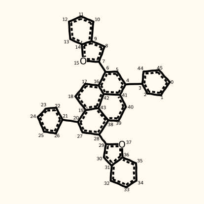 c1ccc(-c2cc(-c3cc4ccccc4o3)c3ccc4c(-c5ccccc5)cc(-c5cc6ccccc6o5)c5ccc2c3c45)cc1